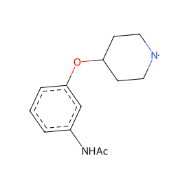 CC(=O)Nc1cccc(OC2CC[N]CC2)c1